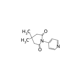 CC1(C)CC(=O)N(c2ccncc2)C(=O)C1